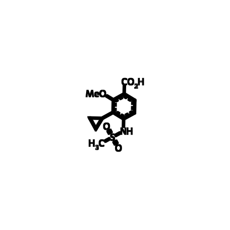 COc1c(C(=O)O)ccc(NS(C)(=O)=O)c1C1CC1